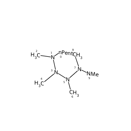 CCCCCN(C)N(C)N(C)N(C)NC